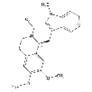 COc1cc2c(cc1OC)[C@H](Cc1cn(C)c3ccccc13)N(C=O)CC2